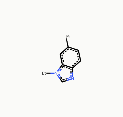 CCn1cnc2ccc(C(C)C)cc21